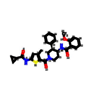 Cc1cc(NC(=O)C2CC2)sc1C(=O)N1CC[C@@H](NC(=O)c2ccccc2OC(F)(F)F)[C@@H](c2ccccc2)C1